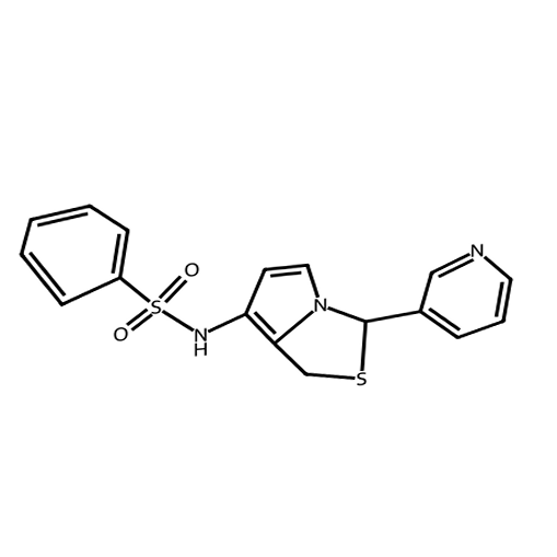 O=S(=O)(Nc1ccn2c1CSC2c1cccnc1)c1ccccc1